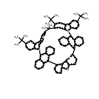 CC(C)(C)c1ccc2c(c1)c1cc(C(C)(C)C)c3cc1n2-c1c2ccccc2c(c2ccccc12)-c1ccc2oc4cccc(c4c2c1)-c1c2ccccc2c(c2ccccc12)-n1c2ccc(C(C)(C)C)cc2c2cc(ccc21)C3(C)C